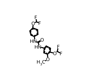 COc1cc(NC(=O)Nc2ccc(OC(F)F)cc2)ccc1OC(F)F